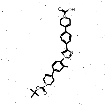 Cc1cc(C2=CCN(C(=O)OC(C)(C)C)CC2)ccc1-n1cc(-c2ccc(C3=CCN(C(=O)O)CC3)cc2)nn1